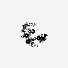 CCc1cccc(C)c1N(C(=O)CCl)C(C)COC.COC(=O)CSc1cc(/N=c2\sc(=O)n3n2CCCC3)c(F)cc1Cl.CS(=O)(=O)c1cc(C(F)(F)F)ccc1C(=O)c1cnoc1C1CC1.O=C(O)CNCP(=O)(O)O